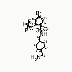 NCC1CCC(CNS(=O)(=O)c2ccc(Br)cc2OC(F)(F)F)CC1